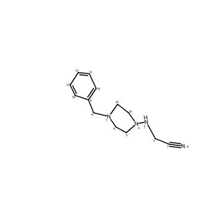 N#CCNN1CCN(Cc2ccccc2)CC1